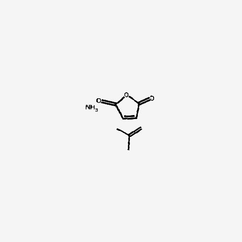 C=C(C)C.N.O=C1C=CC(=O)O1